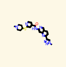 CN1CCC(Sc2cc(C(=O)Nc3cc4nc(-c5cn(C)nn5)ccc4cn3)ccn2)CC1